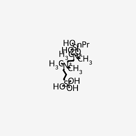 CCC[Si](O)(O)O[N+](C)(C)CC[N+](C)(C)CCC[Si](O)(O)O